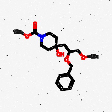 CC(C)(C)OCC(CC1(O)CCN(C(=O)OC(C)(C)C)CC1)OCc1ccccc1